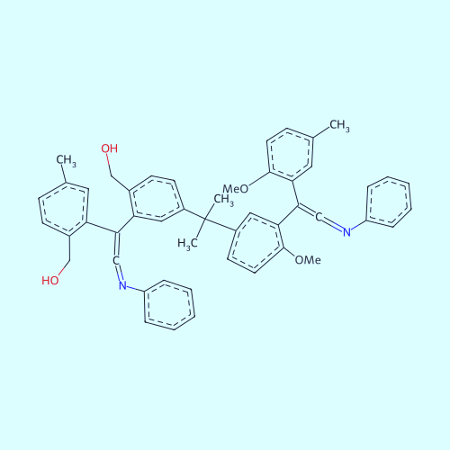 COc1ccc(C)cc1C(=C=Nc1ccccc1)c1cc(C(C)(C)c2ccc(CO)c(C(=C=Nc3ccccc3)c3cc(C)ccc3CO)c2)ccc1OC